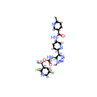 Cc1ccc(C(=O)Nc2ccc(-c3nnn(C)c3NC(=O)O[C@H](C)c3cc(F)cnc3F)nc2)cn1